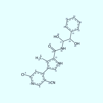 Cc1c(-c2cc(Cl)ncc2C#N)c[nH]c1C(=O)NC(O)C(O)c1ccccc1